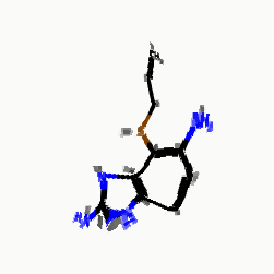 C=CCSc1c(N)ccc2[nH]c(N)nc12